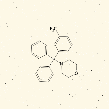 FC(F)(F)c1cccc(C(c2ccccc2)(c2ccccc2)N2CCOCC2)c1